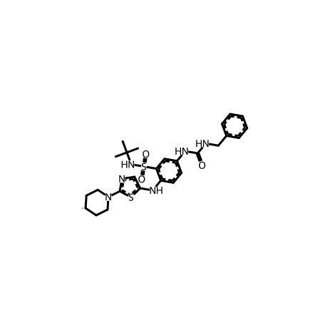 CC(C)(C)NS(=O)(=O)c1cc(NC(=O)NCc2ccccc2)ccc1Nc1cnc(N2CC[CH]CC2)s1